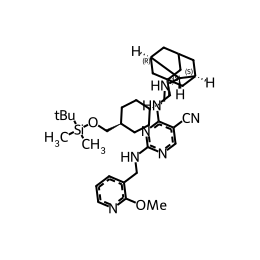 COc1ncccc1CNc1ncc(C#N)c(NC[C@]23CC4C[C@H](C2)[C@@H](NC[C@H]2CC[C@H](CO[Si](C)(C)C(C)(C)C)CC2)[C@@H](C4)C3)n1